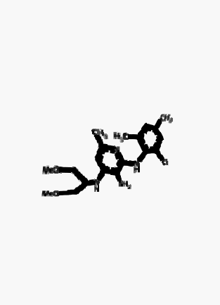 COCC(COC)Nc1cc(C)nc(Nc2c(C)cc(C)cc2Cl)c1N